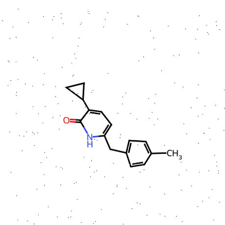 Cc1ccc(Cc2ccc(C3CC3)c(=O)[nH]2)cc1